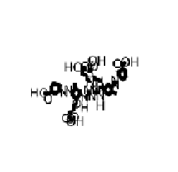 Cc1cc(Nc2nc(NCCCC(=O)O)nc(Nc3cc(C)c(N=Nc4cccc(C(=O)O)c4)cc3OCCCS(=O)(=O)O)n2)c(OCCCSOOO)cc1N=Nc1cccc(C(=O)O)c1